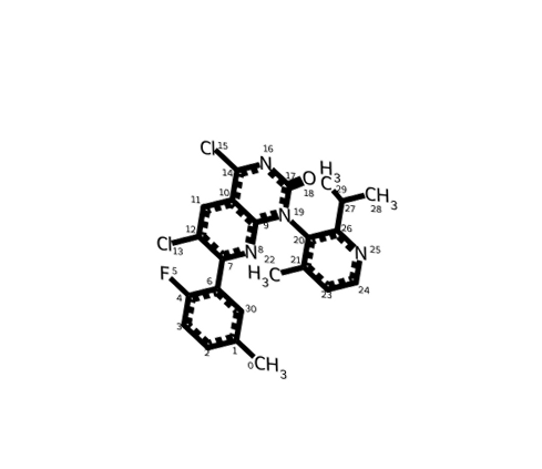 Cc1ccc(F)c(-c2nc3c(cc2Cl)c(Cl)nc(=O)n3-c2c(C)ccnc2C(C)C)c1